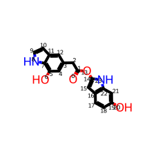 O=C(Cc1cc(O)c2[nH]ccc2c1)Oc1cc2ccc(O)cc2[nH]1